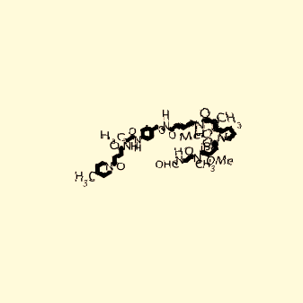 CCC(C)C(C(CC(=O)N1CCCC1C(OC)C(C)C(=O)NC/C=C/C(=O)NOCc1ccc(NC(=O)[C@@H](C)NC(=O)CCC(=O)N2CCC(C)CC2)cc1)OC)N(C)C(=O)CNC=O